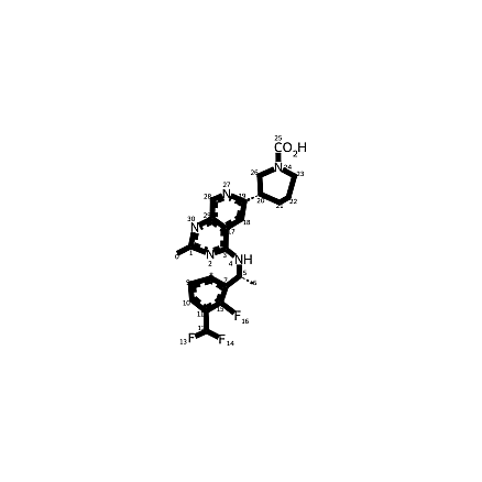 Cc1nc(N[C@H](C)c2cccc(C(F)F)c2F)c2cc([C@H]3CCCN(C(=O)O)C3)ncc2n1